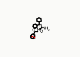 N[C@H]1N=C(C2CCCCC2)c2ccccc2N(CC(=O)N2CC3CCC(CC3)C2)C1=O